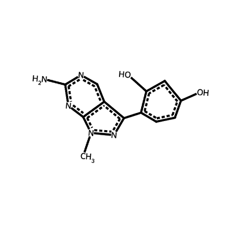 Cn1nc(-c2ccc(O)cc2O)c2cnc(N)nc21